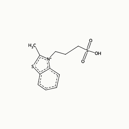 Cc1sc2ccccc2[n+]1CCCS(=O)(=O)O